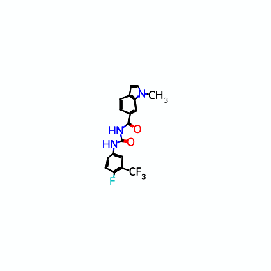 Cn1ccc2ccc(C(=O)NC(=O)Nc3ccc(F)c(C(F)(F)F)c3)cc21